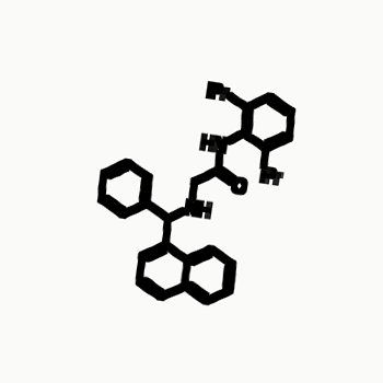 CC(C)c1cccc(C(C)C)c1NC(=O)CNC(c1ccccc1)c1cccc2ccccc12